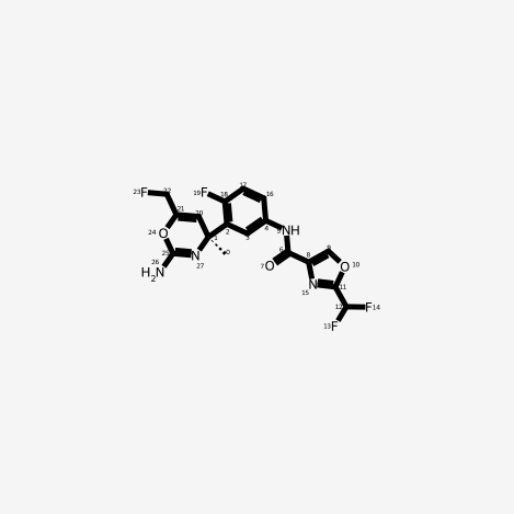 C[C@@]1(c2cc(NC(=O)c3coc(C(F)F)n3)ccc2F)C=C(CF)OC(N)=N1